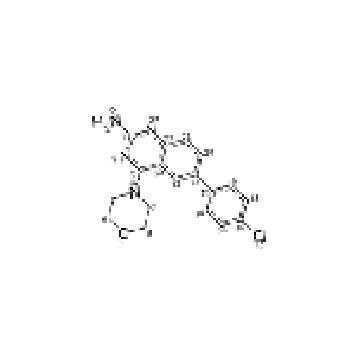 Nc1nc(N2CCOCC2)c2cc(-c3ccc(Cl)cc3)ccc2n1